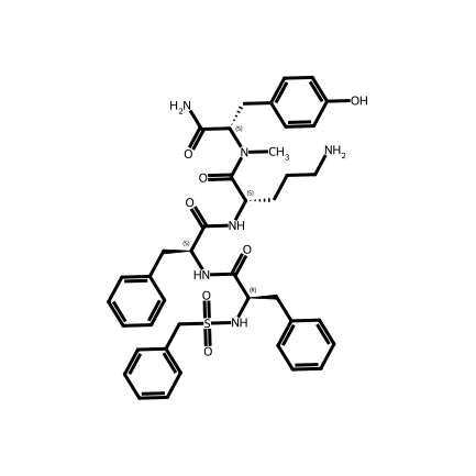 CN(C(=O)[C@H](CCCN)NC(=O)[C@H](Cc1ccccc1)NC(=O)[C@@H](Cc1ccccc1)NS(=O)(=O)Cc1ccccc1)[C@@H](Cc1ccc(O)cc1)C(N)=O